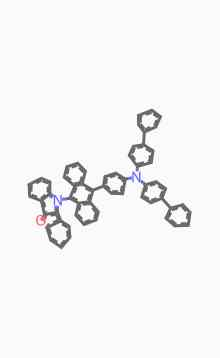 c1ccc(-c2ccc(N(c3ccc(-c4ccccc4)cc3)c3ccc(-c4c5ccccc5c(-n5c6ccccc6c6oc7ccccc7c65)c5ccccc45)cc3)cc2)cc1